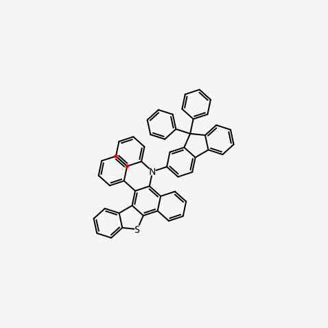 c1ccc(-c2c(N(c3ccccc3)c3ccc4c(c3)C(c3ccccc3)(c3ccccc3)c3ccccc3-4)c3ccccc3c3sc4ccccc4c23)cc1